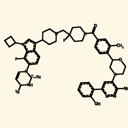 [2H]C1C=CN(c2ccc3c(C4CCN(CC5(F)CCN(C(=O)c6ccc(C7CN(c8cc(-c9ccccc9O)nnc8N)CCO7)c(C)c6)CC5)CC4)cn(C4CCC4)c3c2F)[C@H]([2H])N1